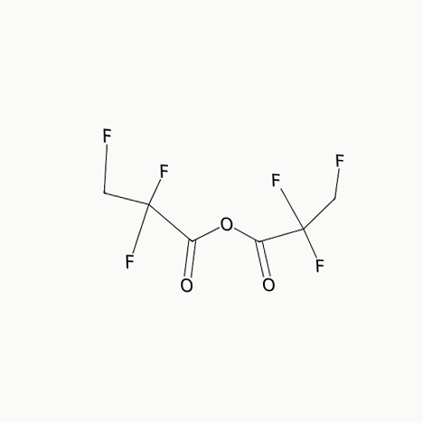 O=C(OC(=O)C(F)(F)CF)C(F)(F)CF